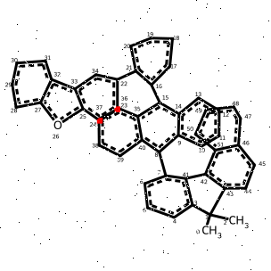 CC1(C)c2cccc(-c3c4ccccc4c(-c4ccccc4-c4ccc5oc6ccccc6c5c4)c4ccccc34)c2-c2c1ccc1ccccc21